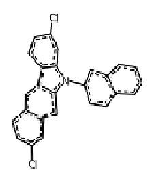 Clc1ccc2cc3c4ccc(Cl)cc4n(-c4ccc5ccccc5c4)c3cc2c1